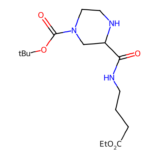 CCOC(=O)CCCNC(=O)C1CN(C(=O)OC(C)(C)C)CCN1